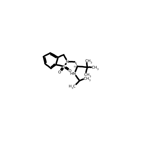 CC(C)N[C@H](CN1Cc2ccccc2S1(=O)=O)C(C)(C)C